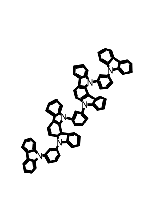 C1=CC2C(c3ccccc3N2c2cccc(-n3c4ccccc4c4ccccc43)c2)c2c1c1ccccc1n2-c1cccc(-n2c3ccccc3c3c2ccc2c4ccccc4n(-c4cccc(-n5c6ccccc6c6ccccc65)c4)c23)c1